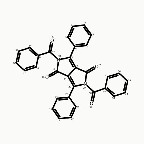 O=C1C2=C(c3ccccc3)N(C(=O)c3ccccc3)C(=O)C2=C(c2ccccc2)N1C(=O)c1ccccc1